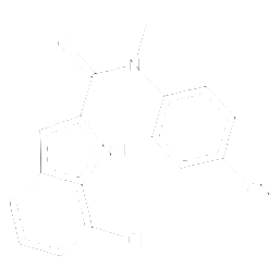 CN(C(=O)c1cc2cccc(Cl)c2[nH]1)c1ccc(C#N)cc1